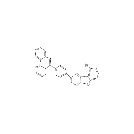 Brc1cccc2oc3ccc(-c4ccc(-c5cc6ccccc6c6ccccc56)cc4)cc3c12